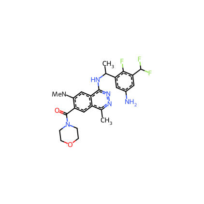 CNc1cc2c(NC(C)c3cc(N)cc(C(F)F)c3F)nnc(C)c2cc1C(=O)N1CCOCC1